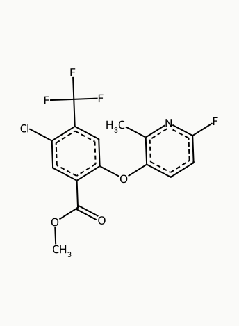 COC(=O)c1cc(Cl)c(C(F)(F)F)cc1Oc1ccc(F)nc1C